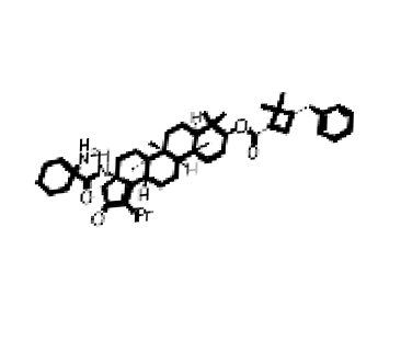 CC(C)C1=C2[C@H]3CC[C@@H]4[C@@]5(C)CC[C@H](OC(=O)[C@H]6C[C@@H](Cc7ccccc7)C6(C)C)C(C)(C)[C@@H]5CC[C@@]4(C)[C@]3(C)CC[C@@]2(NC(=O)C2(N)CCCCC2)CC1=O